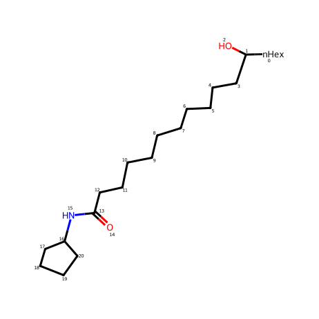 CCCCCCC(O)CCCCCCCCCCC(=O)NC1CCCC1